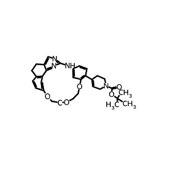 CC(C)(C)OC(=O)N1CC=C(c2ccc3cc2OCCOCCOc2ccc4c(c2)-c2nc(ncc2CC4)N3)CC1